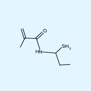 C=C(C)C(=O)NC([SiH3])CC